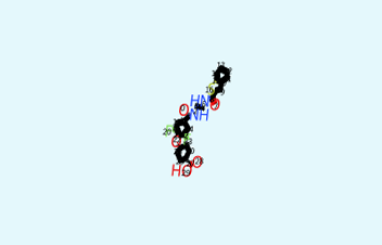 O=C(NCCNC(=O)c1cc2ccccc2s1)c1cc(F)c(O[C@H]2CC[C@@H](C(=O)O)CC2)c(F)c1